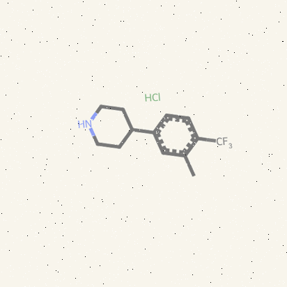 Cc1cc(C2CCNCC2)ccc1C(F)(F)F.Cl